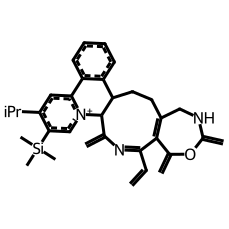 C=C/C1=N/C(=C)C2C(CCC3=C1C(=C)OC(=C)NC3)c1ccccc1-c1cc(C(C)C)c([Si](C)(C)C)c[n+]12